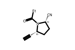 C#C[C@H]1CC[C@@H](C#N)N1C(=O)CC